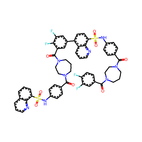 O=C(c1ccc(NS(=O)(=O)c2ccc(-c3cc(F)c(F)c(C(=O)N4CCCN(C(=O)c5ccc(NS(=O)(=O)c6cccc7cccnc67)cc5)CC4)c3)c3cccnc23)cc1)N1CCCN(C(=O)c2ccc(F)c(F)c2)CC1